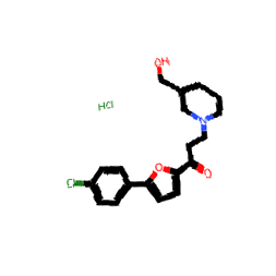 Cl.O=C(CCN1CCCC(CO)C1)c1ccc(-c2ccc(Cl)cc2)o1